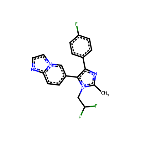 Cc1nc(-c2ccc(F)cc2)c(-c2ccc3nccn3c2)n1CC(F)F